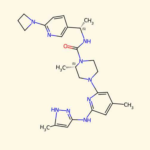 Cc1cc(Nc2cc(C)[nH]n2)nc(N2CCN(C(=O)N[C@@H](C)c3ccc(N4CCC4)nc3)[C@@H](C)C2)c1